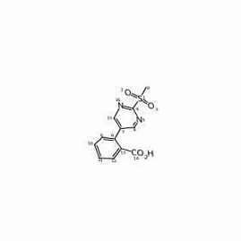 CS(=O)(=O)c1ncc(-c2ccccc2C(=O)O)cn1